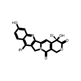 CC[C@@]1(O)C(=O)OCc2c1cc1n(c2=O)Cc2c-1nc1cc(O)ccc1c2C(C)C